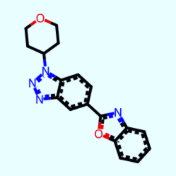 c1ccc2oc(-c3ccc4c(c3)nnn4C3CCOCC3)nc2c1